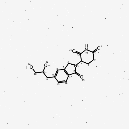 O=C1CCC(N2Cc3cc(CC(O)CO)ccc3C2=O)C(=O)N1